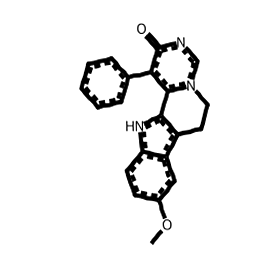 COc1ccc2[nH]c3c(c2c1)CCn1cnc(=O)c(-c2ccccc2)c1-3